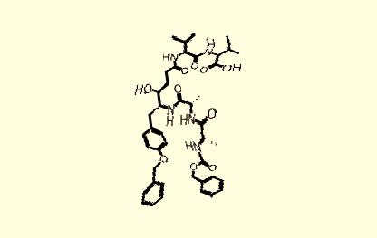 CC(C)[C@H](NC(=O)[C@@H](NC(=O)CC[C@H](O)[C@H](Cc1ccc(OCc2ccccc2)cc1)NC(=O)[C@H](C)NC(=O)[C@H](C)NC(=O)OCc1ccccc1)C(C)C)C(=O)O